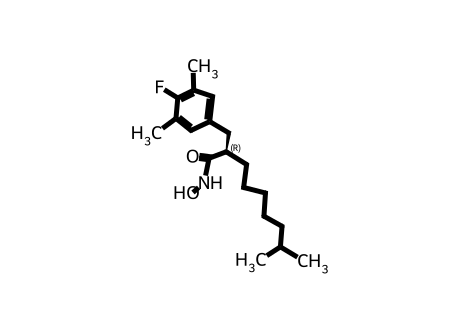 Cc1cc(C[C@@H](CCCCCC(C)C)C(=O)NO)cc(C)c1F